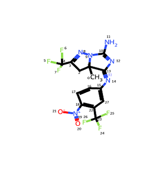 CC12CC(C(F)(F)F)=NN1C(N)=N/C2=N/c1ccc([N+](=O)[O-])c(C(F)(F)F)c1